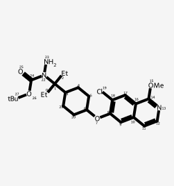 CCC(CC)(C1CCC(Oc2cc3ccnc(OC)c3cc2Cl)CC1)N(N)C(=O)OC(C)(C)C